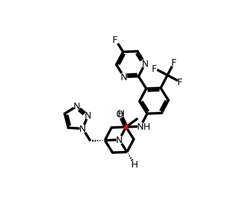 C[C@H]1C[C@H]2C[C@@](Cn3ccnn3)(C1)N2C(=O)Nc1ccc(C(F)(F)F)c(-c2ncc(F)cn2)c1